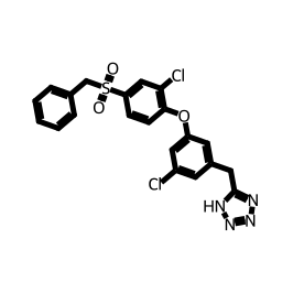 O=S(=O)(Cc1ccccc1)c1ccc(Oc2cc(Cl)cc(Cc3nnn[nH]3)c2)c(Cl)c1